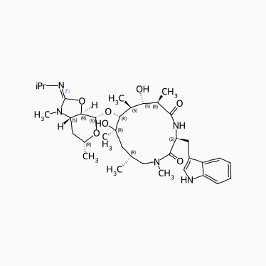 CC(C)/N=C1/O[C@H]2[C@H](O[C@@H]3[C@@H](C)[C@H](O)[C@@H](C)C(=O)N[C@@H](Cc4c[nH]c5ccccc45)C(=O)N(C)C[C@H](C)C[C@@]3(C)O)O[C@H](C)C[C@@H]2N1C